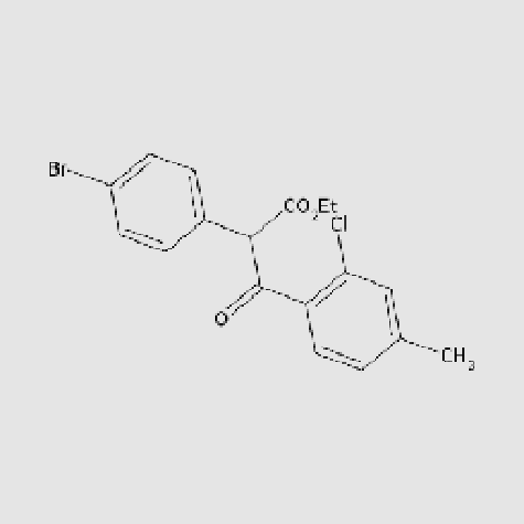 CCOC(=O)C(C(=O)c1ccc(C)cc1Cl)c1ccc(Br)cc1